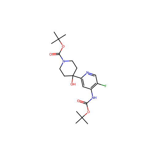 CC(C)(C)OC(=O)Nc1cc(C2(O)CCN(C(=O)OC(C)(C)C)CC2)ncc1F